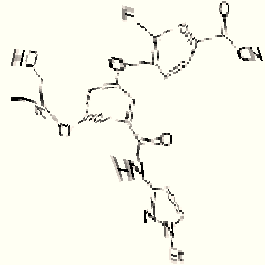 CCn1ccc(NC(=O)c2cc(Oc3ccc(C(=O)C#N)cc3F)cc(O[C@@H](C)CO)c2)n1